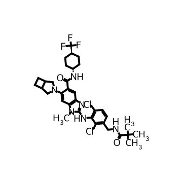 Cn1c(Nc2c(Cl)ccc(CNC(=O)C(C)(C)C)c2Cl)nc2cc(C(=O)N[C@H]3CC[C@H](C(F)(F)F)CC3)c(N3CC4CCC4C3)cc21